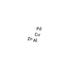 [Al].[Cu].[Pd].[Zn]